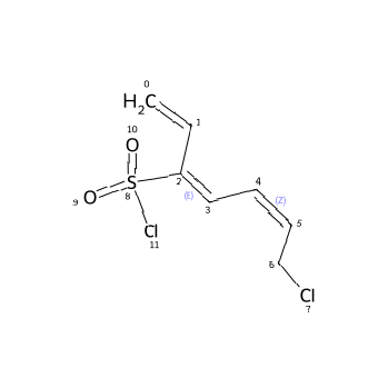 C=C/C(=C\C=C/CCl)S(=O)(=O)Cl